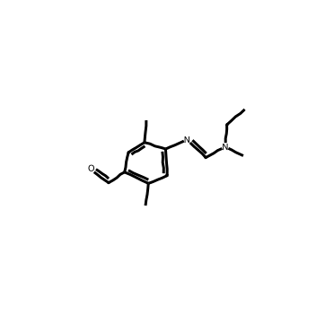 CCN(C)/C=N/c1cc(C)c(C=O)cc1C